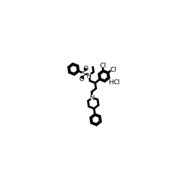 CCN(CC(CCN1CCC(c2ccccc2)CC1)c1ccc(Cl)c(Cl)c1)S(=O)(=O)c1ccccc1.Cl